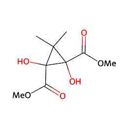 COC(=O)C1(O)C(C)(C)C1(O)C(=O)OC